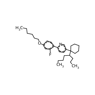 CCCCCCOc1ccc(-c2ccc(C3(C(CCC)CCCC)CCCCC3)cn2)c(F)c1